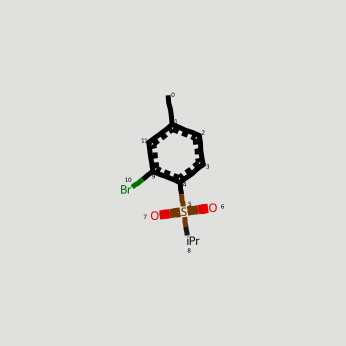 Cc1ccc(S(=O)(=O)C(C)C)c(Br)c1